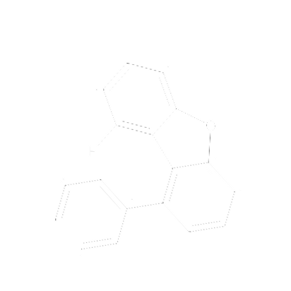 Fc1cccc2oc3cccc(-c4ccccc4)c3c12